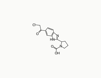 O=C(CCl)c1ccc2nc(C3CCCN3C(=O)O)[nH]c2c1